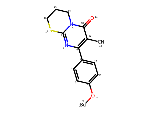 CC(C)(C)Oc1ccc(-c2nc3n(c(=O)c2C#N)CCCS3)cc1